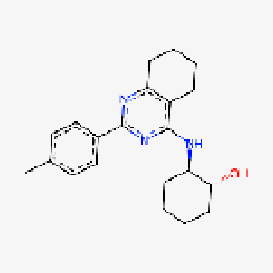 Cc1ccc(-c2nc3c(c(N[C@@H]4CCCC[C@H]4O)n2)CCCC3)cc1